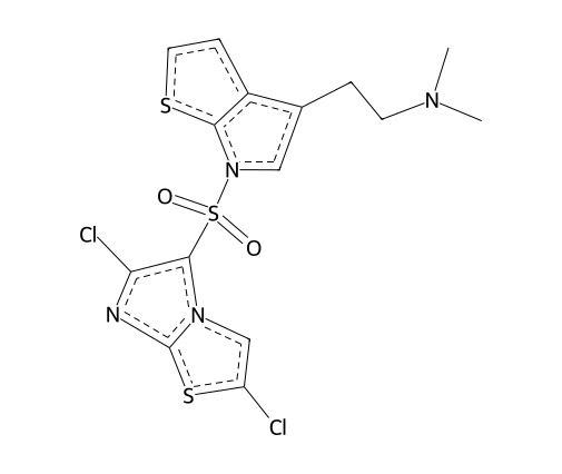 CN(C)CCc1cn(S(=O)(=O)c2c(Cl)nc3sc(Cl)cn23)c2sccc12